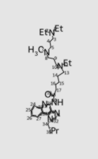 CCN(CC)CCCN(C)CCCN(CC)CCCCCC(=O)Nc1nc2ccccc2c2c1ncn2CC(C)C